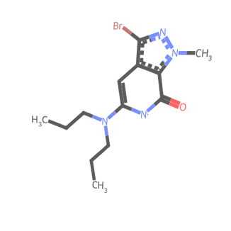 CCCN(CCC)C1=Cc2c(Br)nn(C)c2C(=O)[N]1